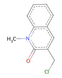 Cn1c(=O)c(CCl)cc2ccccc21